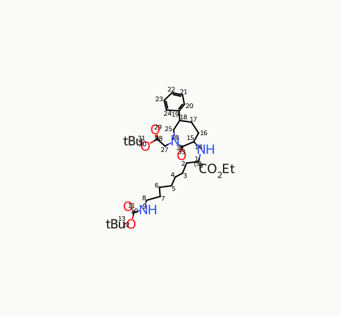 CCOC(=O)[C@H](CCCCCCCNC(=O)OC(C)(C)C)NC1CCC(c2ccccc2)CN(CC(=O)OC(C)(C)C)C1=O